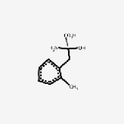 Cc1ccccc1C[C@@](N)(O)C(=O)O